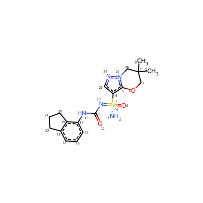 CC1(C)COc2c([S@@](N)(=O)=NC(=O)Nc3cccc4c3CCC4)cnn2C1